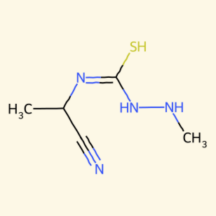 CNN/C(S)=N\C(C)C#N